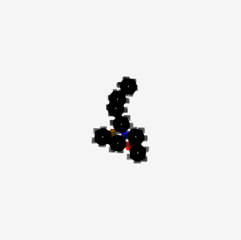 c1ccc(-c2ccc3ccc(-c4ccc(N(c5cccc6c5oc5ccccc56)c5cccc6c5sc5ccccc56)cc4)cc3c2)cc1